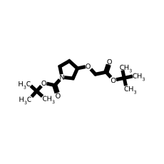 CC(C)(C)OC(=O)COC1CCN(C(=O)OC(C)(C)C)C1